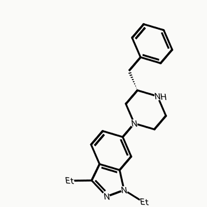 CCc1nn(CC)c2cc(N3CCN[C@@H](Cc4ccccc4)C3)ccc12